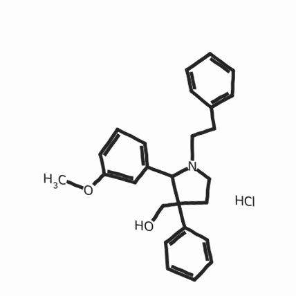 COc1cccc(C2N(CCc3ccccc3)CCC2(CO)c2ccccc2)c1.Cl